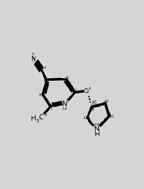 Cc1cc(C#N)cc(O[C@@H]2CCNC2)n1